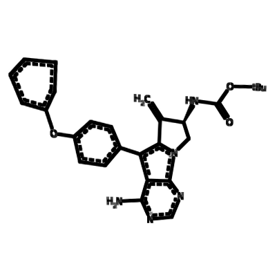 C=C1c2c(-c3ccc(Oc4ccccc4)cc3)c3c(N)ncnc3n2C[C@@H]1NC(=O)OC(C)(C)C